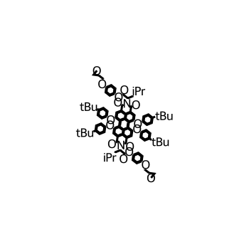 CC(C)CC(C(=O)Oc1ccc(OCC2CO2)cc1)N1C(=O)c2cc(Oc3ccc(C(C)(C)C)cc3)c3c4c(Oc5ccc(C(C)(C)C)cc5)cc5c6c(cc(Oc7ccc(C(C)(C)C)cc7)c(c7c(Oc8ccc(C(C)(C)C)cc8)cc(c2c37)C1=O)c64)C(=O)N(C(CC(C)C)C(=O)Oc1ccc(OCC2CO2)cc1)C5=O